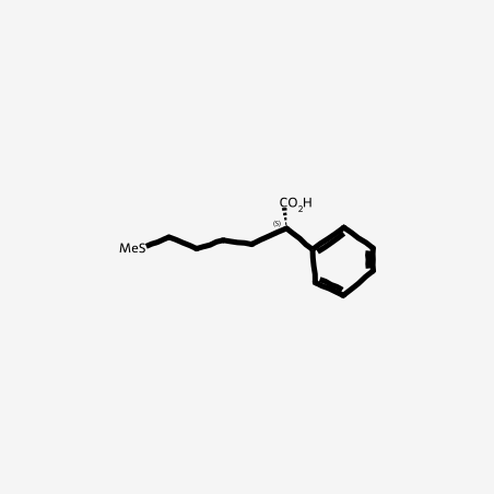 CSCCCC[C@H](C(=O)O)c1ccccc1